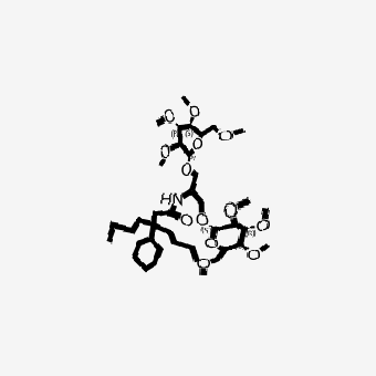 CCCCC(CCCC)(CC(=O)NC(CO[C@H]1OC(COC)[C@H](OC)[C@@H](OC)C1OC)CO[C@H]1OC(COC)[C@H](OC)[C@@H](OC)C1OC)C1CCCCC1